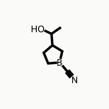 CC(O)C1CCB(C#N)C1